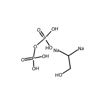 O=P(O)(O)OP(=O)(O)O.OC[CH]([Na])[Na]